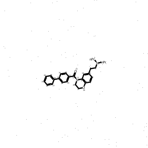 CCCN(CCC)CCc1ccc2c(c1)N(C(=O)c1ccc(-c3ccccc3)cc1)CCO2